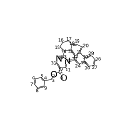 O=C(OCc1ccccc1)c1cnc(C2CCCc3ccc4c(ccc5ccccc54)c32)nc1